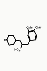 COc1ccc(CC(CC2CCNCC2)C(=O)O)cc1OC